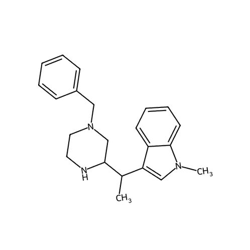 CC(c1cn(C)c2ccccc12)C1CN(Cc2ccccc2)CCN1